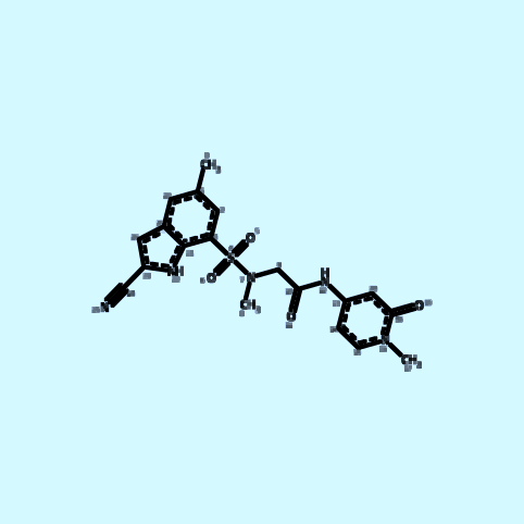 Cc1cc(S(=O)(=O)N(C)CC(=O)Nc2ccn(C)c(=O)c2)c2[nH]c(C#N)cc2c1